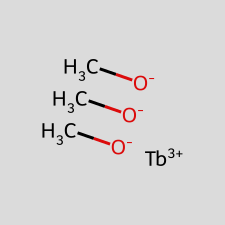 C[O-].C[O-].C[O-].[Tb+3]